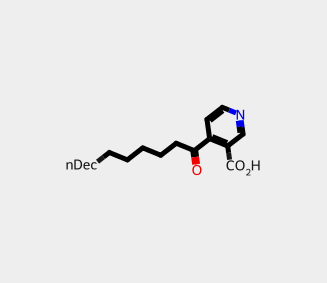 CCCCCCCCCCCCCCCC(=O)c1ccncc1C(=O)O